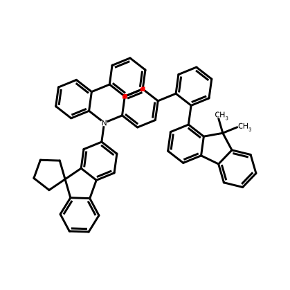 CC1(C)c2ccccc2-c2cccc(-c3ccccc3-c3ccc(N(c4ccc5c(c4)C4(CCCC4)c4ccccc4-5)c4ccccc4-c4ccccc4)cc3)c21